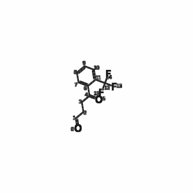 O=CCCC(=O)c1ccccc1C(F)(F)F